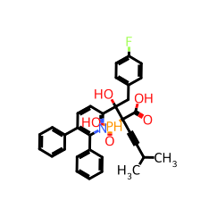 CC(C)C#CC(C(=O)O)([PH](=O)O)C(O)(Cc1ccc(F)cc1)c1ccc(-c2ccccc2)c(-c2ccccc2)n1